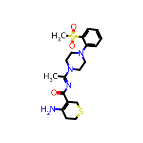 C/C(=N\C(=O)C1=C(N)CCSC1)N1CCN(c2ccccc2S(C)(=O)=O)CC1